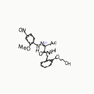 COc1cc(N=O)ccc1N/N=C(/C(C)=O)C(=O)Nc1ccccc1OCCO